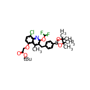 Cc1c(Cc2ccc(B3OC(C)(C)C(C)(C)O3)cc2)c(OC(F)F)nc2c(Cl)ccc(OCC(=O)OC(C)(C)C)c12